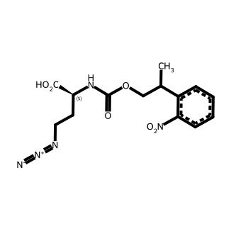 CC(COC(=O)N[C@@H](CCN=[N+]=[N-])C(=O)O)c1ccccc1[N+](=O)[O-]